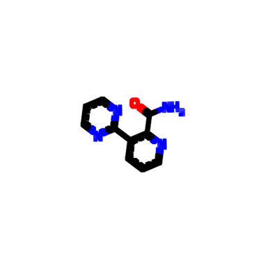 NC(=O)c1ncccc1-c1ncccn1